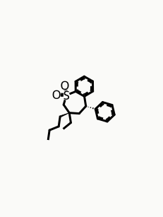 CCCC[C@]1(CC)C[C@@H](c2ccccc2)c2ccccc2S(=O)(=O)C1